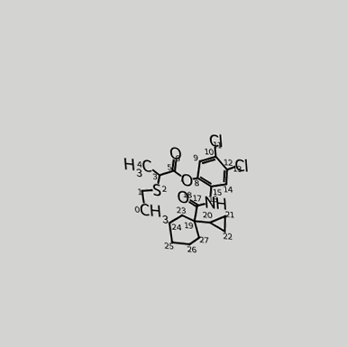 CCSC(C)C(=O)Oc1cc(Cl)c(Cl)cc1NC(=O)C1(C2CC2)CCCCC1